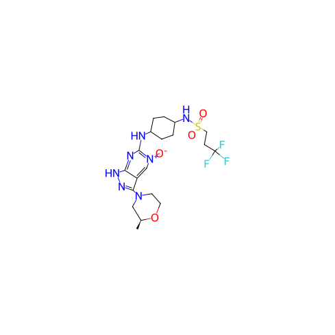 C[C@H]1CN(c2n[nH]c3nc(NC4CCC(NS(=O)(=O)CCC(F)(F)F)CC4)[n+]([O-])cc23)CCO1